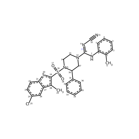 Cc1ccccc1N/C(=N\C#N)N1CCN(S(=O)(=O)c2sc3ccc(Cl)cc3c2C)C(c2ccccc2)C1